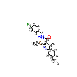 Cc1c(C(=O)NCc2ccc(F)cc2)c(SC(C)(C)C)nc2cc(C(F)(F)F)ccc12